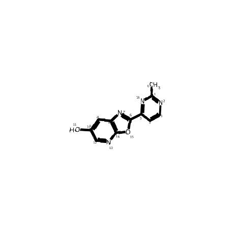 Cc1nccc(-c2nc3cc(O)cnc3o2)n1